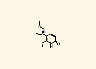 CC/C(=N\OC)c1ccc(=O)[nH]c1CC